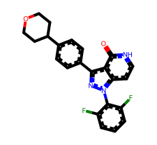 O=c1[nH]ccc2c1c(-c1ccc(C3CCOCC3)cc1)nn2-c1c(F)cccc1F